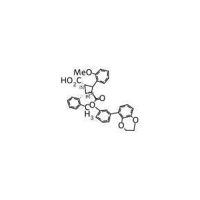 COc1ccccc1C1[C@@H](C(=O)O)[C@@H](c2ccccc2C)[C@@H]1C(=O)Oc1cccc(-c2cccc3c2OCCO3)c1